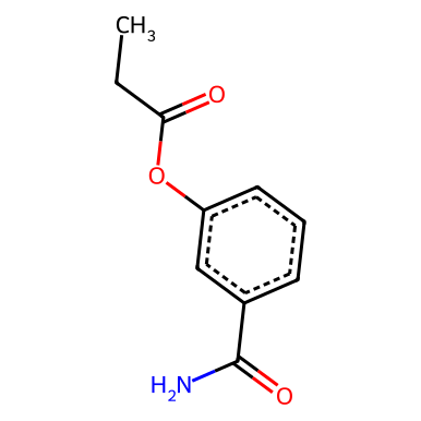 CCC(=O)Oc1cccc(C(N)=O)c1